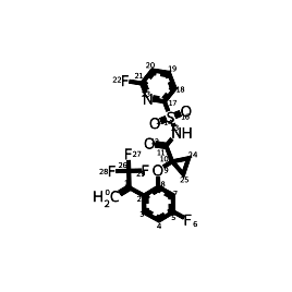 C=C(c1ccc(F)cc1OC1(C(=O)NS(=O)(=O)c2cccc(F)n2)CC1)C(F)(F)F